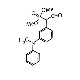 COP(=O)(OC)C(C=O)c1cccc(N(C)c2ccccc2)c1